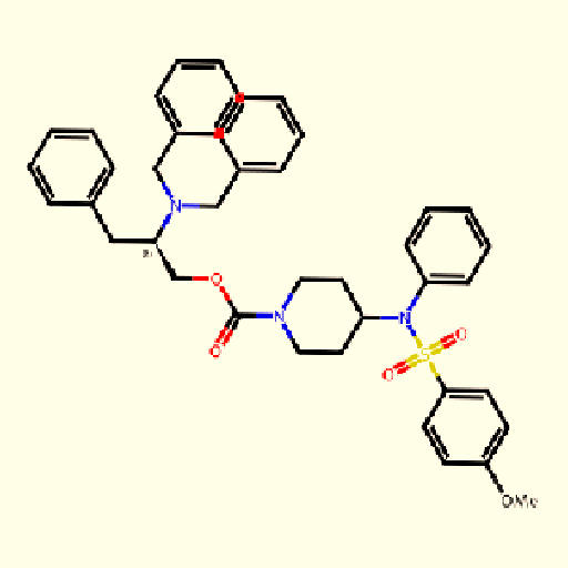 COc1ccc(S(=O)(=O)N(c2ccccc2)C2CCN(C(=O)OC[C@@H](Cc3ccccc3)N(Cc3ccccc3)Cc3ccccc3)CC2)cc1